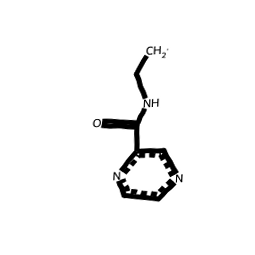 [CH2]CNC(=O)c1cnccn1